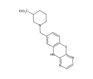 CCOC(=O)C1CCCN(Cc2ccc3c(c2)Nc2nccnc2S3)C1